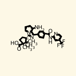 CC1(C)[C@@H](c2nc(-c3ccc(C(=O)Nc4cc(C(F)(F)F)ccn4)cc3)c3c(N)cccn23)CC[C@@]1(C)C(=O)O